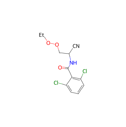 CCOOCC(C#N)NC(=O)c1c(Cl)cccc1Cl